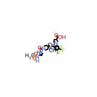 CN(Cc1ccc(C(F)(F)F)cc1N1CCC(C(=O)O)C1)C1(C)CCN(C(=O)n2ccc(NS(C)(=O)=O)n2)CC1